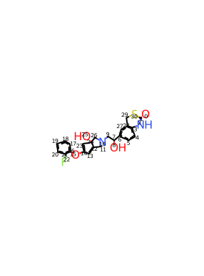 O=C1Nc2ccc([C@@H](O)CN3CC4=CC(Oc5ccccc5F)=C[C@@]4(O)C3)cc2CS1